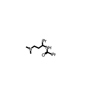 CC(C)C(=O)NC(CCN(C)C)C(C)C